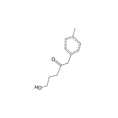 Cc1ccc(CC(=O)CCCO)cc1